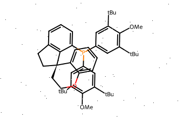 COc1c(C(C)(C)C)cc(P(c2cc(C(C)(C)C)c(OC)c(C(C)(C)C)c2)c2cccc3c2[C@@]2(CCOc4ccccc42)CC3)cc1C(C)(C)C